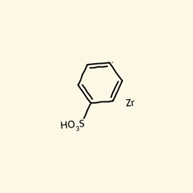 O=S(=O)(O)c1cc[c]cc1.[Zr]